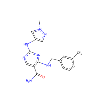 Cn1cc(Nc2ncc(C(N)=O)c(NCc3cccc(C(F)(F)F)c3)n2)cn1